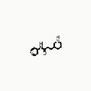 O=C(CCC1CCCNC1)Nc1ccncc1